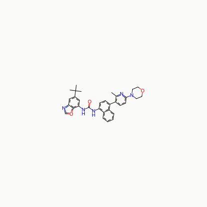 Cc1nc(N2CCOCC2)ccc1-c1ccc(NC(=O)Nc2cc(C(C)(C)C)cc3ncoc23)c2ccccc12